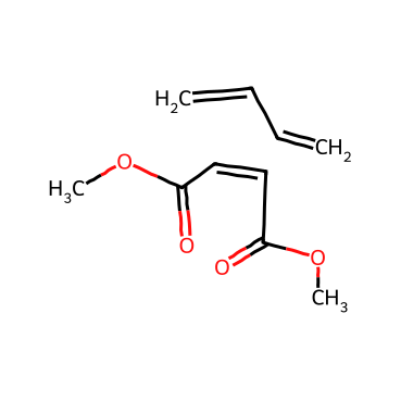 C=CC=C.COC(=O)/C=C\C(=O)OC